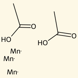 CC(=O)O.CC(=O)O.[Mn].[Mn].[Mn]